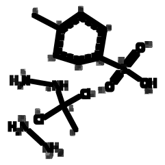 CC(Cl)(Cl)NN.Cc1ccc(S(=O)(=O)O)cc1.NN